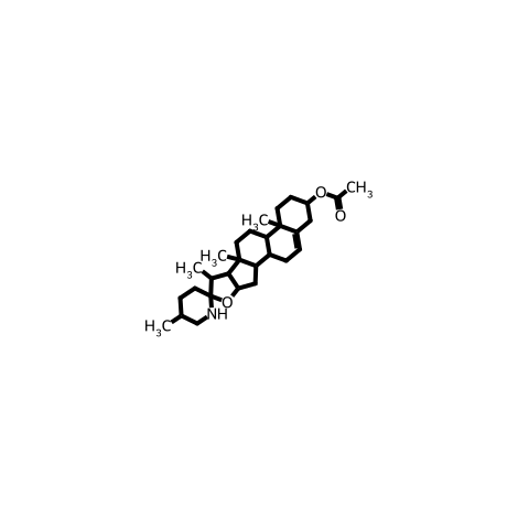 CC(=O)OC1CCC2(C)C(=CCC3C2CCC2(C)C3CC3OC4(CCC(C)CN4)C(C)C32)C1